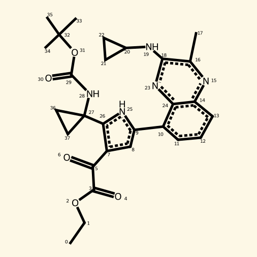 CCOC(=O)C(=O)c1cc(-c2cccc3nc(C)c(NC4CC4)nc23)[nH]c1C1(NC(=O)OC(C)(C)C)CC1